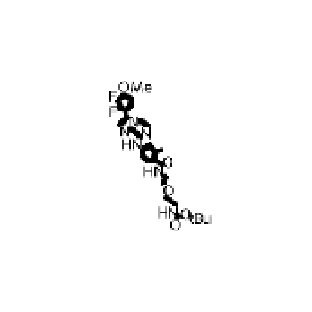 COc1ccc(-c2cnc3c(Nc4ccc(C(=O)NCCOCCNC(=O)OC(C)(C)C)c(C)c4)nccn23)c(F)c1F